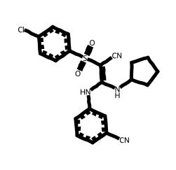 N#CC(=C(Nc1cccc(C#N)c1)NC1CCCC1)S(=O)(=O)c1ccc(Cl)cc1